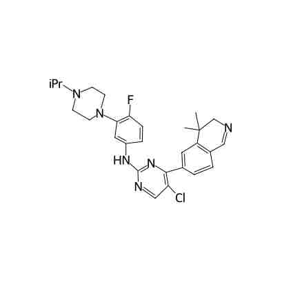 CC(C)N1CCN(c2cc(Nc3ncc(Cl)c(-c4ccc5c(c4)C(C)(C)CN=C5)n3)ccc2F)CC1